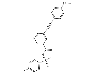 COc1ccc(C#Cc2cncc(C(=O)N=S(C)(=O)c3ccc(C)cc3)c2)cc1